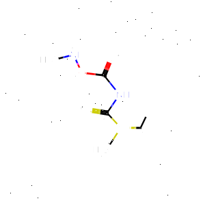 B[SH](CC)C(=S)NC(=O)ONC